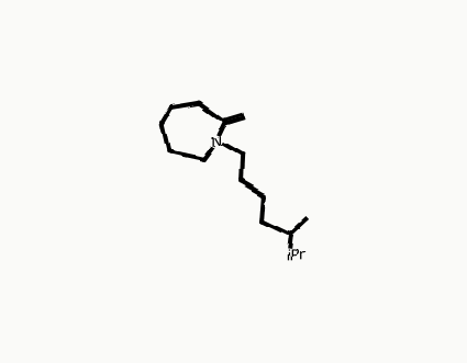 C=C1CCCCCN1CCCCC(C)C(C)C